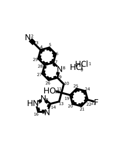 Cl.Cl.N#Cc1ccc2nc(CC(O)(Cc3nc[nH]n3)c3ccc(F)cc3)ccc2c1